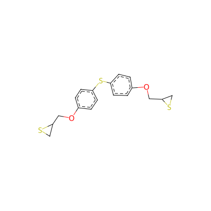 c1cc(Sc2ccc(OCC3CS3)cc2)ccc1OCC1CS1